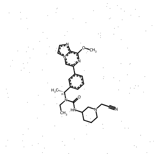 CCN(C(=O)NC1CCCN(CC#N)C1)[C@H](C)c1cccc(-c2cn3ccnc3c(OC)n2)c1